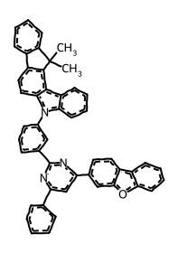 CC1(C)c2ccccc2-c2ccc3c(c21)c1ccccc1n3-c1cccc(-c2nc(-c3ccccc3)cc(-c3ccc4c(c3)oc3ccccc34)n2)c1